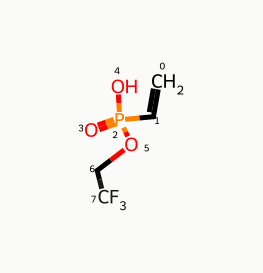 C=CP(=O)(O)OCC(F)(F)F